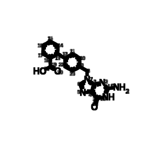 Nc1nc2c(ncn2Cc2ccc(-c3ccccc3C(=O)O)cc2)c(=O)[nH]1